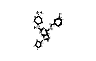 N[C@H]1CC[C@H](Nc2nc(NCc3cccc(I)c3)c3ncn(C4CCCC4)c3n2)CC1